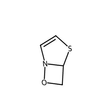 C1=CN2OCC2S1